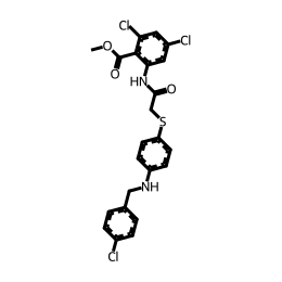 COC(=O)c1c(Cl)cc(Cl)cc1NC(=O)CSc1ccc(NCc2ccc(Cl)cc2)cc1